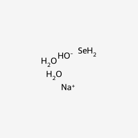 O.O.[Na+].[OH-].[SeH2]